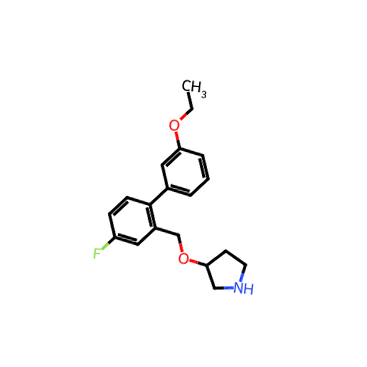 CCOc1cccc(-c2ccc(F)cc2COC2CCNC2)c1